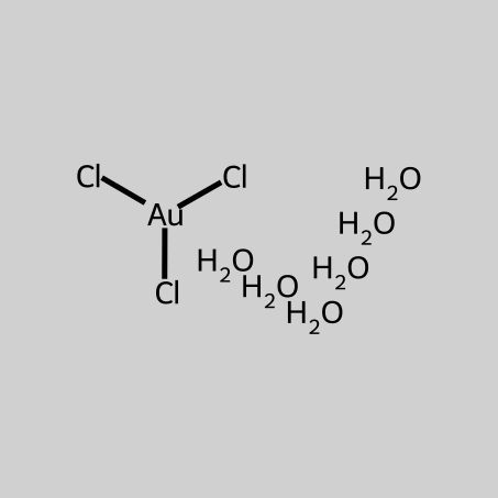 O.O.O.O.O.O.[Cl][Au]([Cl])[Cl]